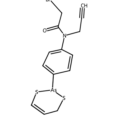 C#CCN(C(=O)CBr)c1ccc([As]2SC=CCS2)cc1